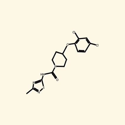 Cc1nsc(NC(=O)N2CCC(Oc3ccc(Cl)cc3Cl)CC2)n1